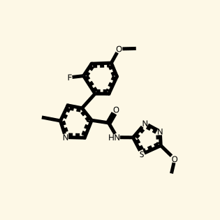 COc1ccc(-c2cc(C)ncc2C(=O)Nc2nnc(OC)s2)c(F)c1